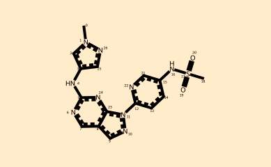 Cn1cc(Nc2ncc3cnn(-c4ccc(NS(C)(=O)=O)cn4)c3n2)cn1